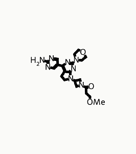 COCCC(=O)N1CC(N2CCc3c(-c4cnc(N)nc4)nc(N4CCOCC4)nc32)C1